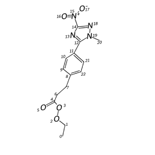 CCOOC(=O)CCc1ccc(-c2nc([N+](=O)[O-])nn2C)cc1